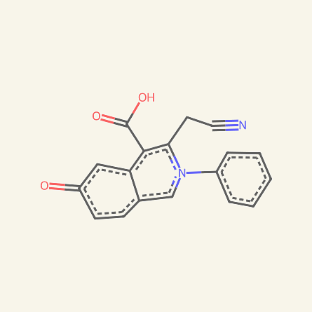 N#CCc1c(C(=O)O)c2cc(=O)ccc-2cn1-c1ccccc1